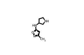 Cc1cc(NC2CCNC2)on1